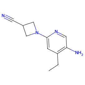 CCc1cc(N2CC(C#N)C2)ncc1N